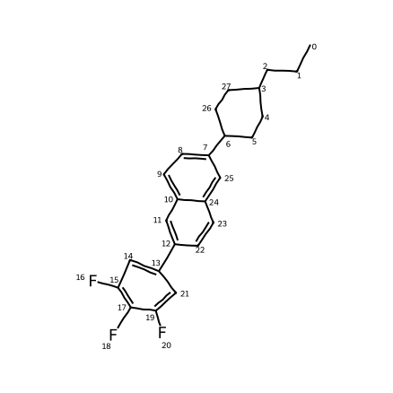 CCCC1CCC(c2ccc3cc(-c4cc(F)c(F)c(F)c4)ccc3c2)CC1